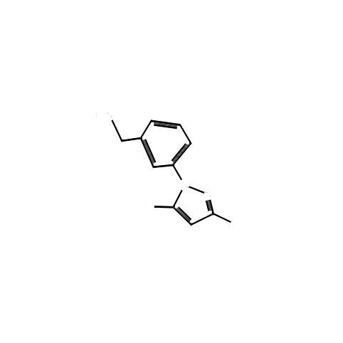 CC(=O)c1cc(C(F)(F)F)nn1-c1cccc(CN)c1